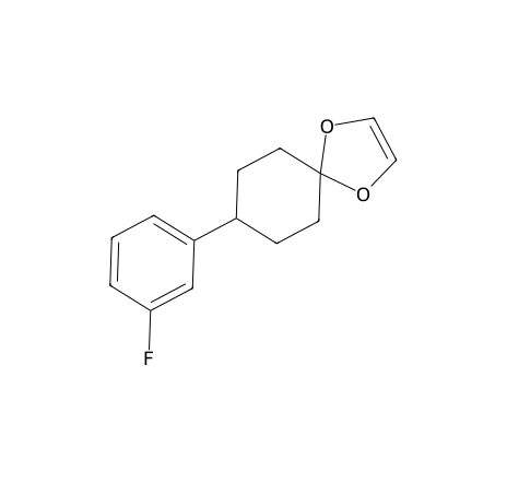 Fc1cccc(C2CCC3(CC2)OC=CO3)c1